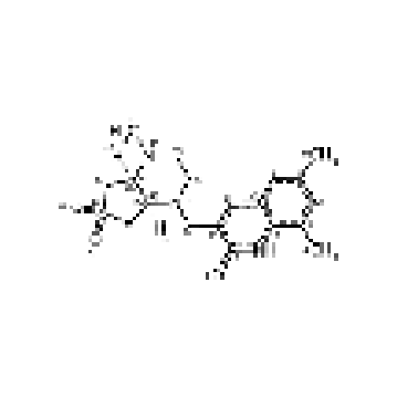 Cc1cc(C)c2[nH]c(=O)c(CN3CCN(C)[C@@H]4CS(=O)(=O)C[C@@H]43)cc2c1